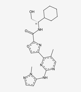 Cc1cnc(Nc2ccnn2C)nc1-c1coc(C(=O)N[C@H](CO)C2CCCCC2)n1